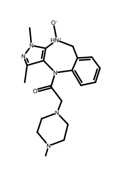 Cc1nn(C)c2c1N(C(=O)CN1CCN(C)CC1)c1ccccc1C[NH+]2[O-]